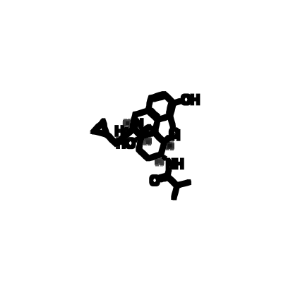 CC(C)C(=O)N[C@@H]1CC[C@@]2(O)[C@H]3Cc4ccc(O)c5c4[C@@]2(CCN3CC2CC2)[C@H]1O5